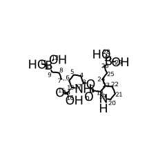 O=C(OC1CC[C@@H](CCCB(O)O)[C@H](C(=O)O)N1)C1NCCCC1CCCB(O)O